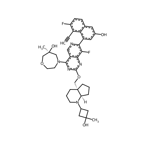 C#Cc1c(F)ccc2cc(O)cc(-c3ncc4c(N5CCOC[C@@](C)(O)C5)nc(OC[C@]56CCC[C@H]5N(C5CC(C)(O)C5)CCC6)nc4c3F)c12